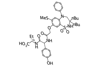 CCCCC1(CCCC)CN(c2ccccc2)c2cc(SC)c(OCC(=O)NC(C(=O)N[C@@H](CC)C(=O)O)c3ccc(O)cc3)cc2S(=O)(=O)N1